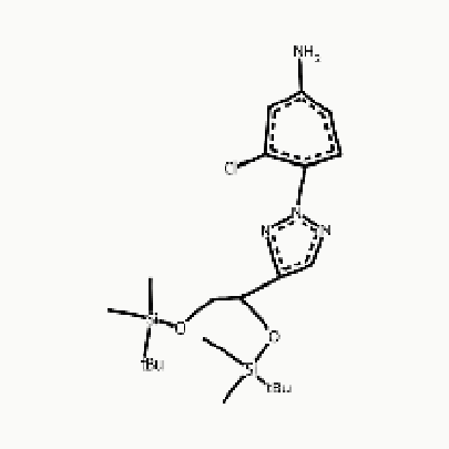 CC(C)(C)[Si](C)(C)OCC(O[Si](C)(C)C(C)(C)C)c1cnn(-c2ccc(N)cc2Cl)n1